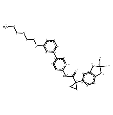 CCCOCCOc1cccc(-c2ccc(NC(=O)C3(c4ccc5c(c4)OC(F)(F)O5)CC3)nc2)c1